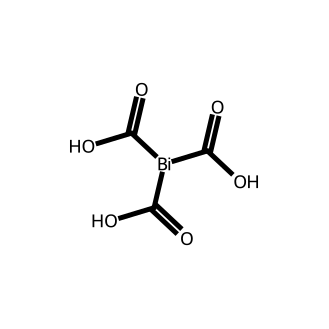 O=[C](O)[Bi]([C](=O)O)[C](=O)O